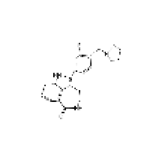 O=C1NCCc2c(-c3ccc(CN4CCCC4)c(F)c3)[nH]c3cccc1c23